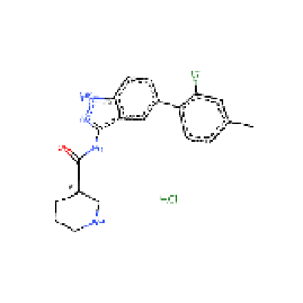 Cc1ccc(-c2ccc3[nH]nc(NC(=O)[C@@H]4CCCNC4)c3c2)c(Cl)c1.Cl